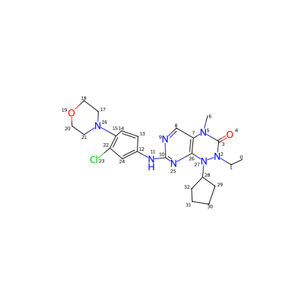 CCN1C(=O)N(C)c2cnc(Nc3ccc(N4CCOCC4)c(Cl)c3)nc2N1C1CCCC1